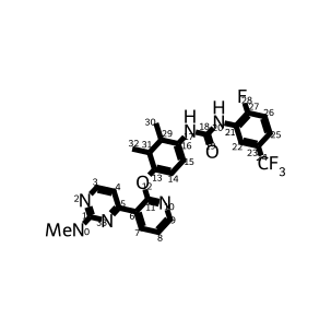 CNc1nccc(-c2cccnc2OC2=CC=C(NC(=O)Nc3cc(C(F)(F)F)ccc3F)C(C)C2C)n1